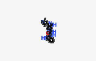 Cc1cc(-c2n[nH]c3cc(NC(=O)NC4CNCc5ccccc54)ncc23)ccn1